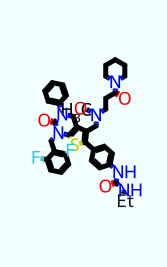 CCNC(=O)Nc1ccc(-c2sc3c(c2CN(C)CCC(=O)N2CCCCC2)c(=O)n(-c2ccccc2)c(=O)n3Cc2c(F)cccc2F)cc1